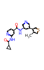 Cc1cscc1-c1cncc(NC(=O)c2ccnc(NC(=O)C3CC3)c2)c1